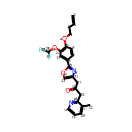 C=CCCOc1ccc(-c2nc(CC(=O)Cc3ncccc3C)co2)cc1OC(F)F